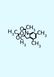 CC(=O)OC1(C)Cc2c(C)cc(C)cc2N1C(C)=O